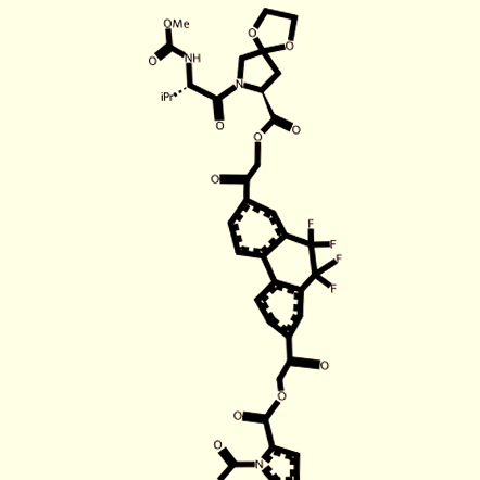 COC(=O)N[C@H](C(=O)N1CC2(C[C@H]1C(=O)OCC(=O)c1ccc3c(c1)C(F)(F)C(F)(F)c1cc(C(=O)COC(=O)c4cccn4C(=O)OC(C)(C)C)ccc1-3)OCCO2)C(C)C